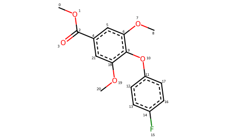 COC(=O)c1cc(OC)c(Oc2ccc(F)cc2)c(OC)c1